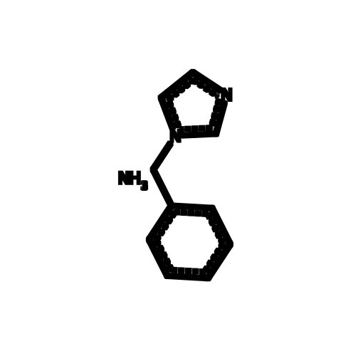 N.c1ccc(Cn2ccnc2)cc1